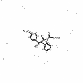 CCCCCCCCCC(=O)N1C(=O)C(=C(O)c2ccc(OC)cc2)c2ccccc21